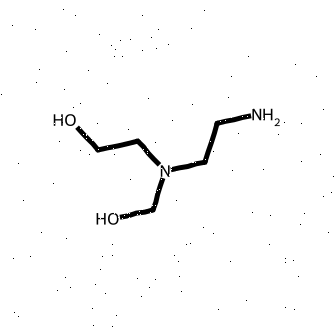 NCCN(CO)CCO